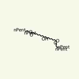 CCCCCC(CCCCC)CCOC(=O)CCCCCCCC(O)CCCCCCCC(=O)OCCC(CCCCC)CCCCC